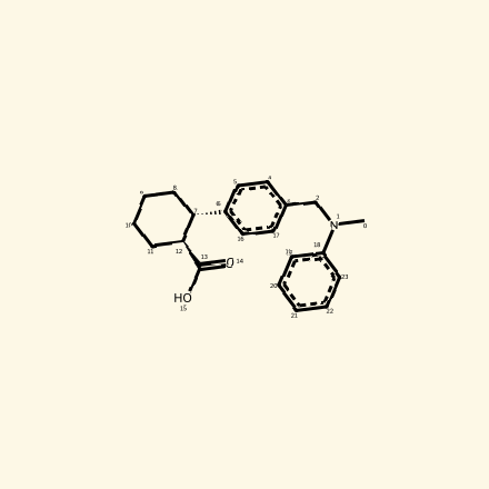 CN(Cc1ccc([C@H]2CCCC[C@@H]2C(=O)O)cc1)c1ccccc1